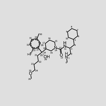 CNCC(CC1CCCCC1)NC(=O)N1CCCC([C@@](O)(CCCCOC)c2cc(C)ccc2F)C1